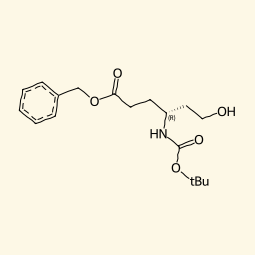 CC(C)(C)OC(=O)N[C@@H](CCO)CCC(=O)OCc1ccccc1